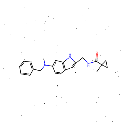 CN(Cc1ccccc1)c1ccc2cc(CNC(=O)C3(C)CC3)[nH]c2c1